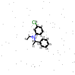 CCN(c1cccc(Cl)c1)C(C)c1ccccc1